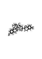 CN(CC(O)C1CCc2cc(F)ccc2O1)CC(O)C1CCc2cc(F)ccc2O1